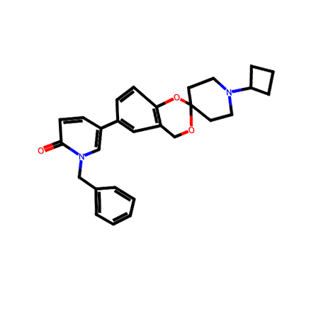 O=c1ccc(-c2ccc3c(c2)COC2(CCN(C4CCC4)CC2)O3)cn1Cc1ccccc1